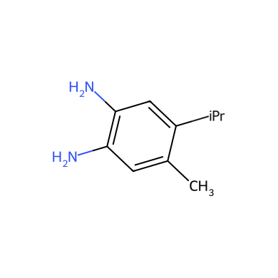 Cc1cc(N)c(N)cc1C(C)C